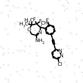 CC1(C)OCC(N)=N[C@](C)(c2cc(C#Cc3ccc(Cl)nn3)ccc2F)C1(F)F